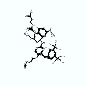 CC[C@@H]1C[C@H](Nc2ncc(OCCCC#N)c(Cc3cc(C(F)(F)F)cc(C(F)(F)F)c3)n2)c2nc(OC)ccc2N1C(=O)OCCC(=O)O